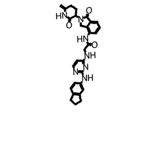 C=C1CCC(N2Cc3c(NC(=O)CNc4ccnc(Nc5ccc6c(c5)CCC6)n4)cccc3C2=O)C(=O)N1